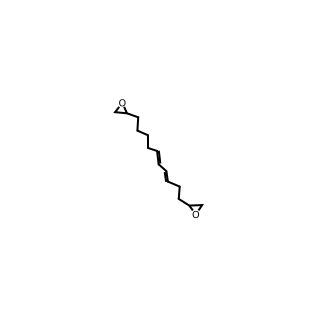 C(C=CCCC1CO1)=CCCCCC1CO1